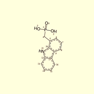 O=P(O)(O)Cc1cccc2c1[nH]c1ccccc12